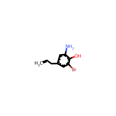 C=CCc1cc(N)c(O)c(Br)c1